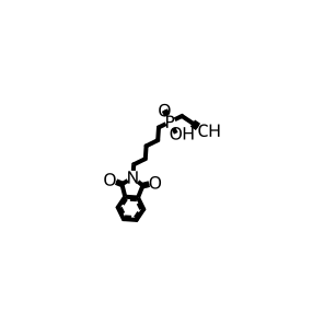 C#CCP(=O)(O)CCCCCN1C(=O)c2ccccc2C1=O